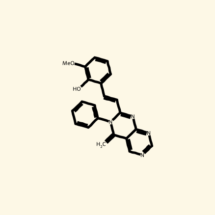 C=C1c2cncnc2N=C(/C=C/c2cccc(OC)c2O)N1c1ccccc1